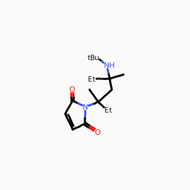 CCC(C)(CC(C)(CC)N1C(=O)C=CC1=O)NC(C)(C)C